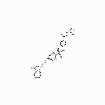 CC(=O)SCC(=O)c1ccc(NS(=O)(=O)c2ccc(OCCCc3c[nH]c4ccccc34)cc2)nc1